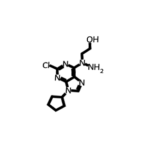 NN(CCO)c1nc(Cl)nc2c1ncn2C1CCCC1